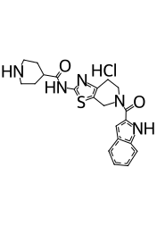 Cl.O=C(Nc1nc2c(s1)CN(C(=O)c1cc3ccccc3[nH]1)CC2)C1CCNCC1